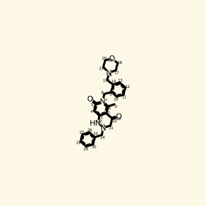 Cc1c2c(cc(=O)n1Cc1ccccc1CN1CCOCC1)NN(Cc1ccccc1)CC2=O